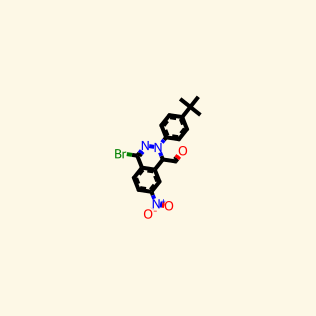 CC(C)(C)c1ccc(N2N=C(Br)c3ccc([N+](=O)[O-])cc3C2C=O)cc1